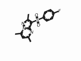 Cc1cc(C)n2nc(C)c(S(=O)(=O)c3ccc(F)cc3)c2n1